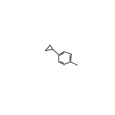 Cc1[c]cc(C2CC2)cc1